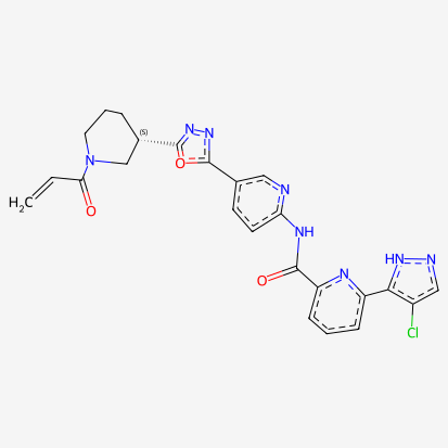 C=CC(=O)N1CCC[C@H](c2nnc(-c3ccc(NC(=O)c4cccc(-c5[nH]ncc5Cl)n4)nc3)o2)C1